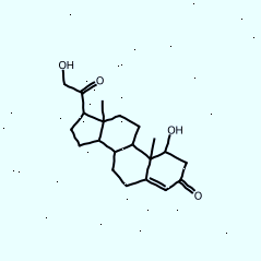 CC12CCC3C(CCC4=CC(=O)CC(O)C43C)C1CCC2C(=O)CO